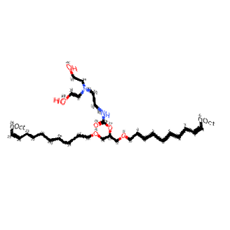 CCCCCCCC/C=C\CCCCCCCCOCC(COCCCCCCCC/C=C\CCCCCCCC)OC(=O)NCCN(CCO)CCO